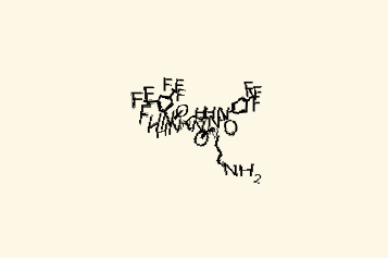 NCCCC[C@@H]1C(=O)N2C[C@H](NC(=O)Nc3cc(C(F)(F)F)cc(C(F)(F)F)c3)C[C@H]2CN1C(=O)Nc1ccc(C(F)(F)F)cc1